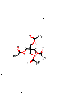 CCCC(=O)OCC(COC(=O)CCC)(COC(=O)CCC)COC(=O)CCC